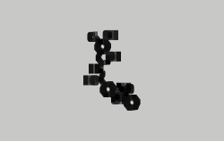 O=S(=O)(Nc1cc([C@@H](O)CN[C@H](CO)Cc2ccc(O)c(Cl)c2)ccc1O)c1ccccc1